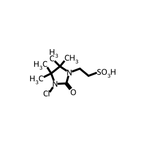 CC1(C)N(Cl)C(=O)N(CCS(=O)(=O)O)C1(C)C